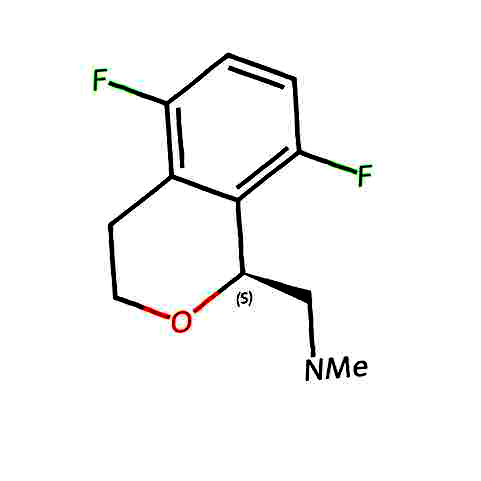 CNC[C@H]1OCCc2c(F)ccc(F)c21